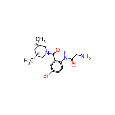 C[C@@H]1C[C@H](C)CN(C(=O)c2cc(Br)ccc2NC(=O)CN)C1